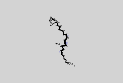 CCCCC/C=C\C[C@H](O)/C=C/C=C\CCCCCCc1nnn[nH]1